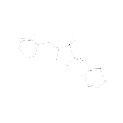 Cc1ccccc1/C=C1\CC/C(=C\c2ccccc2)C1=O